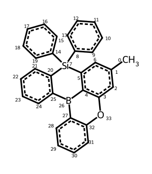 Cc1cc2c3c(c1)[Si](c1ccccc1)(c1ccccc1)c1ccccc1B3c1ccccc1O2